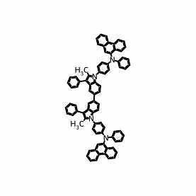 Cc1c(-c2ccccc2)c2cc(-c3ccc4c(c3)c(-c3ccccc3)c(C)n4-c3ccc(N(c4ccccc4)c4cc5ccccc5c5ccccc45)cc3)ccc2n1-c1ccc(N(c2ccccc2)c2cc3ccccc3c3ccccc23)cc1